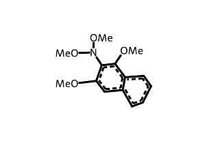 COc1cc2ccccc2c(OC)c1N(OC)OC